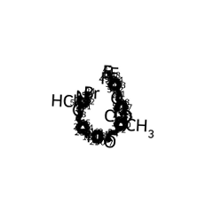 Cc1cc(C=CC(=O)N2CCN(Cc3ccc(CCOc4ccc(Br)nc4)cc3)CC2)cc(Cl)c1Oc1ccc(OCc2ccc(C(F)(F)F)cc2)cn1.Cl